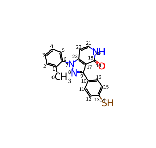 Cc1ccccc1-n1nc(-c2ccc(S)cc2)c2c(=O)[nH]ccc21